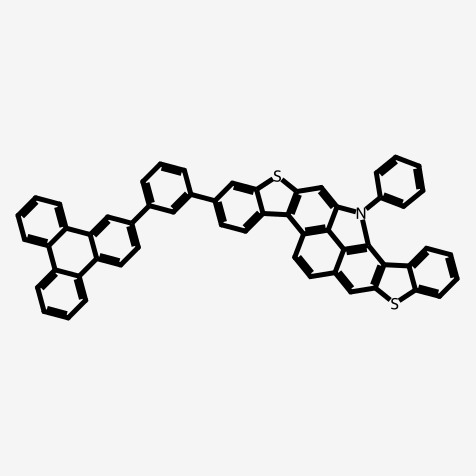 c1ccc(-n2c3cc4sc5cc(-c6cccc(-c7ccc8c9ccccc9c9ccccc9c8c7)c6)ccc5c4c4ccc5cc6sc7ccccc7c6c2c5c43)cc1